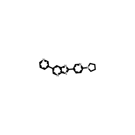 c1cncc(-c2cnc3sc(-c4ccc(N5CCCC5)nc4)nc3c2)c1